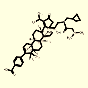 CC[C@@]12CC[C@@]3([C@@H](O)CN(CC4CCC4)C(=O)CN(C)C)CC(=O)C(C(C)C)=C3[C@H]1CC[C@@H]1[C@@]3(C)CC=C(c4ccc(C(=O)O)cc4)C(C)(C)[C@H]3CC[C@]12C